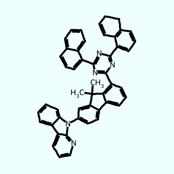 CC1(C)c2cc(-n3c4ccccc4c4cccnc43)ccc2-c2cccc(-c3nc(-c4cccc5c4C=CCC5)nc(-c4cccc5ccccc45)n3)c21